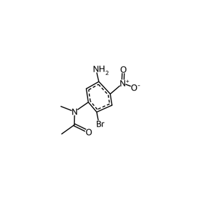 CC(=O)N(C)c1cc(N)c([N+](=O)[O-])cc1Br